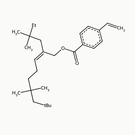 C=Cc1ccc(C(=O)OC/C(=C\CCC(C)(C)CC(C)(C)C)CC(C)(C)CC)cc1